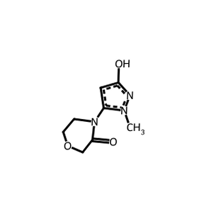 Cn1nc(O)cc1N1CCOCC1=O